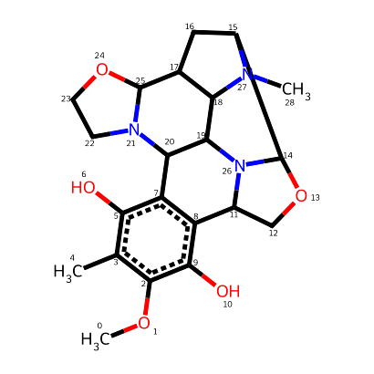 COc1c(C)c(O)c2c(c1O)C1COC3C4CC5C(C(C2N2CCOC52)N13)N4C